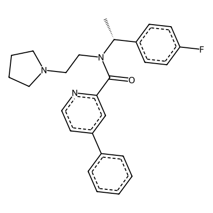 C[C@H](c1ccc(F)cc1)N(CCN1CCCC1)C(=O)c1cc(-c2ccccc2)ccn1